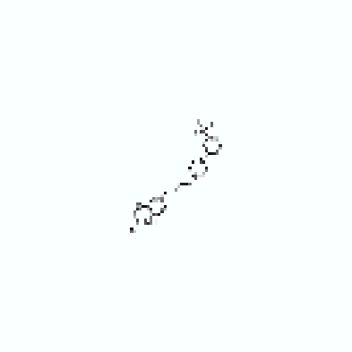 O=C1CSc2cc(CCCCN3CCN(c4cccc(C(F)(F)F)c4)CC3)ccc2N1